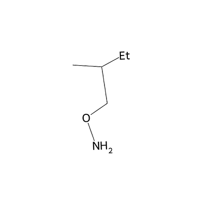 CCC(C)CON